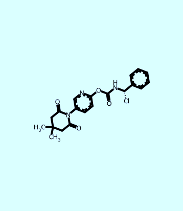 CC1(C)CC(=O)N(c2ccc(OC(=O)N[C@@H](Cl)c3ccccc3)nc2)C(=O)C1